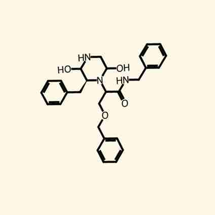 O=C(NCc1ccccc1)C(COCc1ccccc1)N1C(O)CNC(O)[C@@H]1Cc1ccccc1